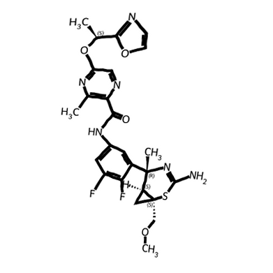 COC[C@]12C[C@H]1[C@](C)(c1cc(NC(=O)c3ncc(O[C@@H](C)c4ncco4)nc3C)cc(F)c1F)N=C(N)S2